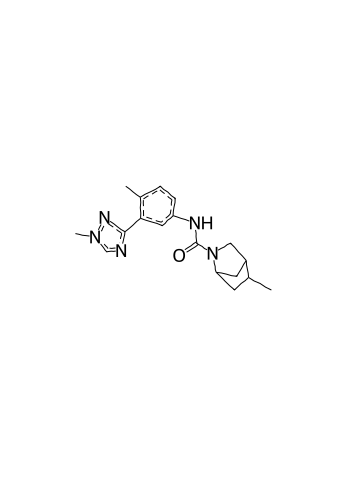 Cc1ccc(NC(=O)N2CC3CC2CC3C)cc1-c1ncn(C)n1